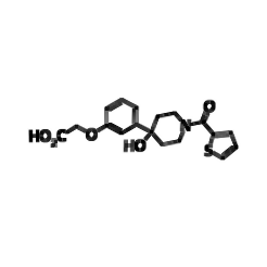 O=C(O)COc1cccc(C2(O)CCN(C(=O)c3cccs3)CC2)c1